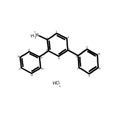 Cl.Nc1ccc(-c2ccccc2)cc1-c1ccccc1